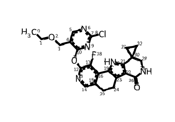 CCOCc1cnc(Cl)nc1Oc1ncc2c(c1F)-c1[nH]c3c(c1CC2)C(=O)NCC31CC1